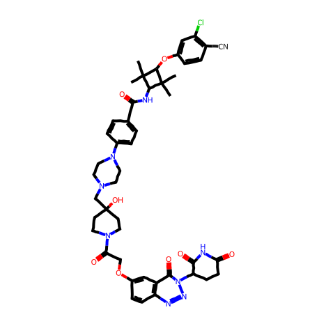 CC1(C)C(NC(=O)c2ccc(N3CCN(CC4(O)CCN(C(=O)COc5ccc6nnn(C7CCC(=O)NC7=O)c(=O)c6c5)CC4)CC3)cc2)C(C)(C)C1Oc1ccc(C#N)c(Cl)c1